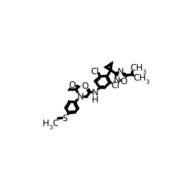 CCSc1ccc(N(CC(=O)Nc2cc(Cl)c(C3(c4noc(C(C)C)n4)CC3)c(Cl)c2)C2COC2)cc1